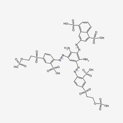 Nc1c(/N=N/c2ccc(S(=O)(=O)CCOS(=O)(=O)O)cc2S(=O)(=O)O)cc(/N=N/c2ccc(S(=O)(=O)CCOS(=O)(=O)O)cc2S(=O)(=O)O)c(N)c1/N=N/c1cc(S(=O)(=O)O)c2cccc(S(=O)(=O)O)c2c1